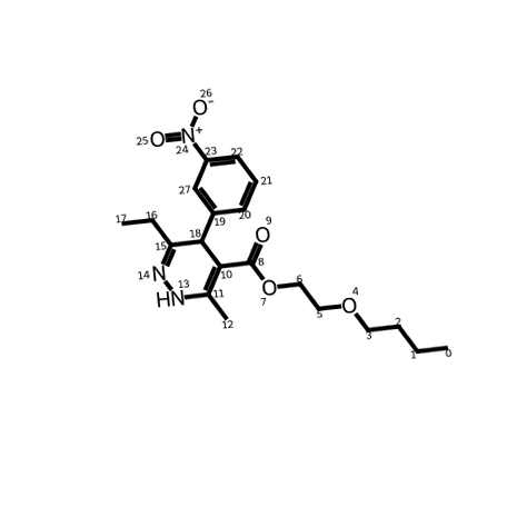 CCCCOCCOC(=O)C1=C(C)NN=C(CC)C1c1cccc([N+](=O)[O-])c1